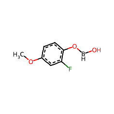 COc1ccc(OBO)c(F)c1